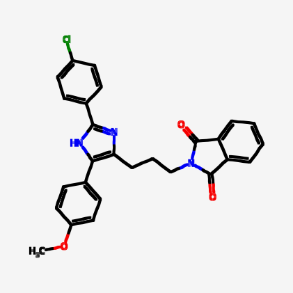 COc1ccc(-c2[nH]c(-c3ccc(Cl)cc3)nc2CCCN2C(=O)c3ccccc3C2=O)cc1